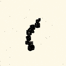 CCOc1cccc(-c2ccc(CN3CCN(c4ccc(C(=O)NCC56CC7CC(CC(C7)C5)C6)cc4)CC3)c(OC)c2)c1